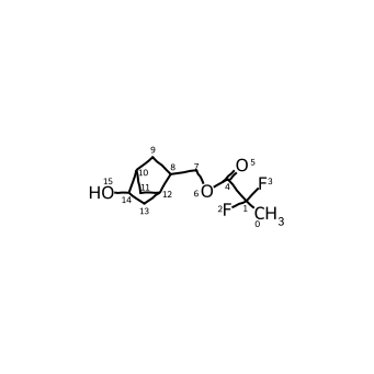 CC(F)(F)C(=O)OCC1CC2CC1CC2O